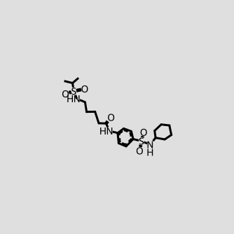 CC(C)S(=O)(=O)NCCCCC(=O)Nc1ccc(S(=O)(=O)NC2CCCCC2)cc1